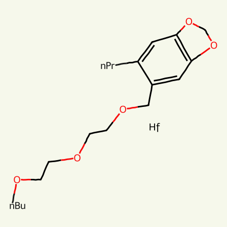 CCCCOCCOCCOCc1cc2c(cc1CCC)OCO2.[Hf]